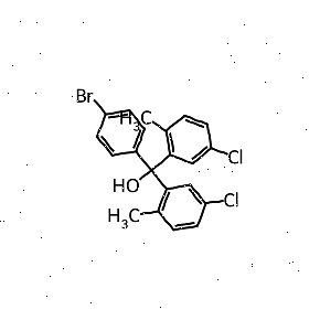 Cc1ccc(Cl)cc1C(O)(c1ccc(Br)cc1)c1cc(Cl)ccc1C